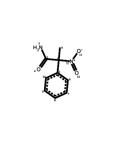 CC(C(N)=O)(c1ccccc1)[N+](=O)[O-]